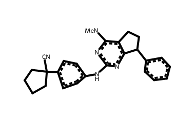 CNc1nc(Nc2ccc(C3(C#N)CCCC3)cc2)nc2c1CCC2c1ccccc1